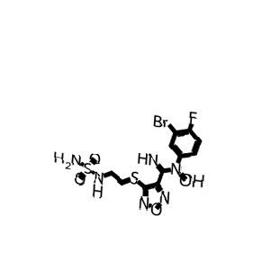 N=C(c1nonc1SCCNS(N)(=O)=O)N(O)c1ccc(F)c(Br)c1